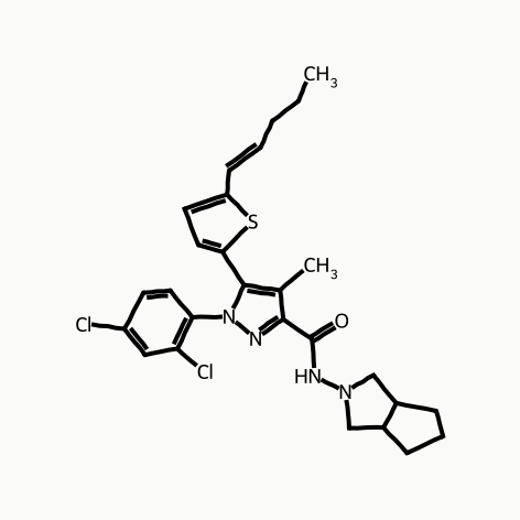 CCCC=Cc1ccc(-c2c(C)c(C(=O)NN3CC4CCCC4C3)nn2-c2ccc(Cl)cc2Cl)s1